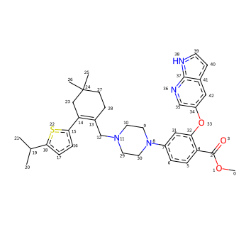 COC(=O)c1ccc(N2CCN(CC3=C(c4ccc(C(C)C)s4)CC(C)(C)CC3)CC2)cc1Oc1cnc2[nH]ccc2c1